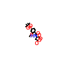 CCOc1cc(B2OC(C)(C)C(C)(C)O2)ccc1C(=O)NC(CC(=O)OC)C(=O)OC